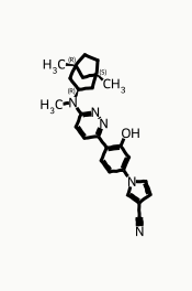 CN(c1ccc(-c2ccc(-n3ccc(C#N)c3)cc2O)nn1)[C@H]1C[C@]2(C)CC[C@](C)(C1)C2